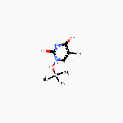 Cc1cn(O[Si](C)(C)C(C)(C)C)c(=O)[nH]c1=O